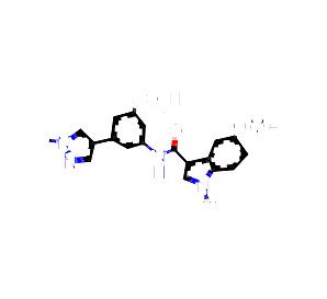 COc1ccc2c(c1)c(C(=O)Nc1cc(C(=O)O)cc(-c3cnn(C)c3)c1)cn2C(C)=O